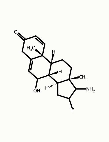 C[C@]12C=CC(=O)CC1=CC(O)[C@@H]1[C@H]2CC[C@]2(C)C(N)C(F)C[C@@H]12